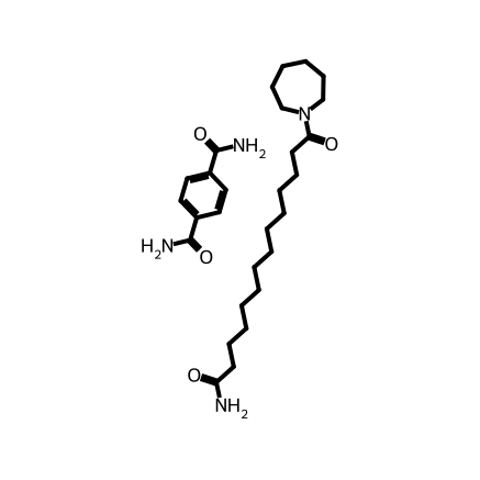 NC(=O)CCCCCCCCCCCCC(=O)N1CCCCCC1.NC(=O)c1ccc(C(N)=O)cc1